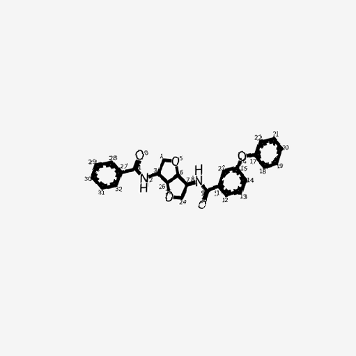 O=C(NC1COC2C(NC(=O)c3cccc(Oc4ccccc4)c3)COC12)c1ccccc1